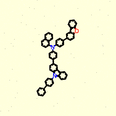 c1ccc(-c2ccc(-n3c4ccccc4c4cc(-c5ccc(N(c6ccc(-c7ccc8oc9ccccc9c8c7)cc6)c6cccc7ccccc67)cc5)ccc43)cc2)cc1